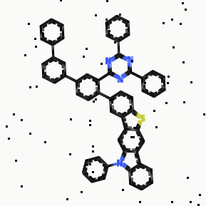 c1ccc(-c2cccc(-c3ccc(-c4ccc5sc6cc7c8ccccc8n(-c8ccccc8)c7cc6c5c4)c(-c4nc(-c5ccccc5)nc(-c5ccccc5)n4)c3)c2)cc1